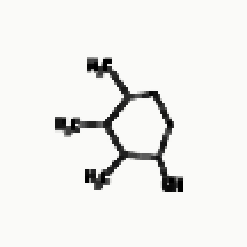 CC1CCC(O)C(C)C1C